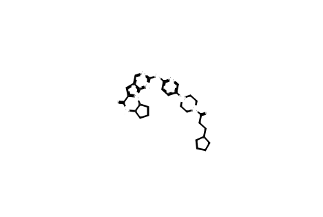 CN1C(=O)c2cc3cnc(Nc4ccc(N5CCN(C(=O)CCC6CCCC6)CC5)cn4)nc3n2C2CCCC21